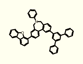 c1ccc(-c2cc(-c3ccccc3)cc(-c3ccc4c(c3)-c3ccc(-c5cccc6c5oc5ccccc56)cc3CN(c3ccccc3)C4)c2)cc1